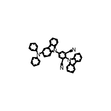 N#Cc1cc(-n2c3ccccc3c3cc(N(c4ccccc4)c4ccccc4)ccc32)cc(C#N)c1-n1c2ccccc2c2ccccc21